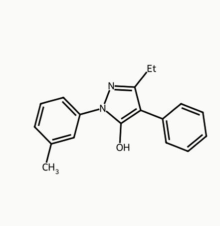 CCc1nn(-c2cccc(C)c2)c(O)c1-c1ccccc1